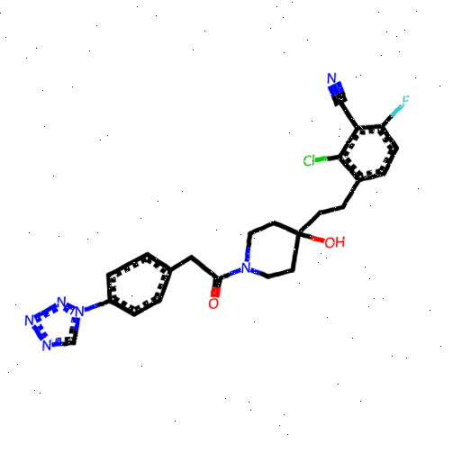 N#Cc1c(F)ccc(CCC2(O)CCN(C(=O)Cc3ccc(-n4cnnn4)cc3)CC2)c1Cl